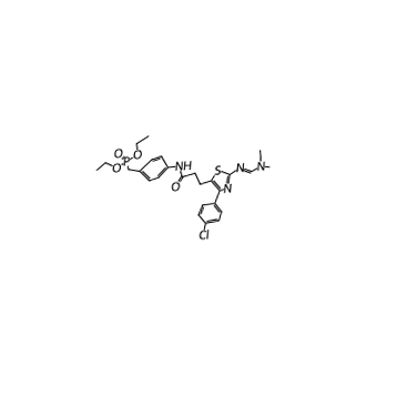 CCOP(=O)(Cc1ccc(NC(=O)CCc2sc(N=CN(C)C)nc2-c2ccc(Cl)cc2)cc1)OCC